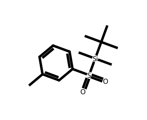 Cc1cccc(S(=O)(=O)[Si](C)(C)C(C)(C)C)c1